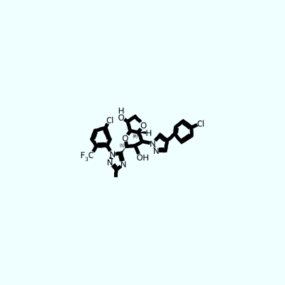 Cc1nc([C@@H]2OC3C(O)CO[C@@H]3C(n3cc(-c4ccc(Cl)cc4)cn3)C2O)n(-c2cc(Cl)ccc2C(F)(F)F)n1